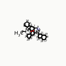 CCCn1c2c(c3cc(/C=N\N(c4ccc5ccccc5c4)c4ccc5ccccc5c4)ccc31)=CCCC=2